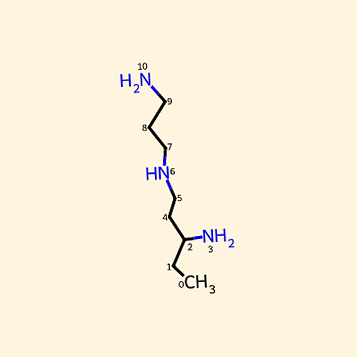 CCC(N)CCNCCCN